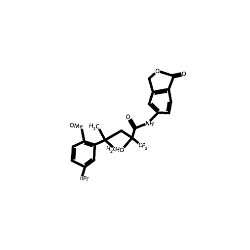 CCCc1ccc(OC)c(C(C)(C)CC(O)(C(=O)Nc2ccc3c(c2)COC3=O)C(F)(F)F)c1